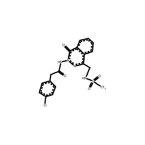 O=C(Cc1ccc(Cl)cc1)Nn1nc(CNS(=O)(=O)C(F)(F)F)c2ccccc2c1=O